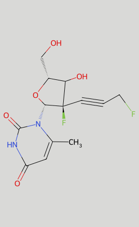 Cc1cc(=O)[nH]c(=O)n1[C@@H]1O[C@H](CO)C(O)[C@]1(F)C#CCF